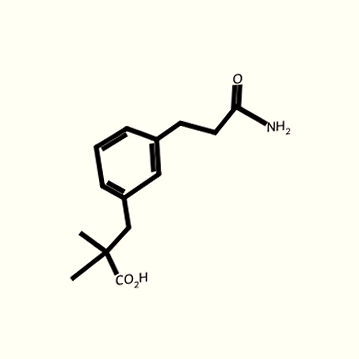 CC(C)(Cc1cccc(CCC(N)=O)c1)C(=O)O